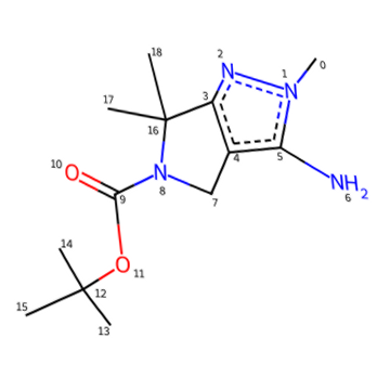 Cn1nc2c(c1N)CN(C(=O)OC(C)(C)C)C2(C)C